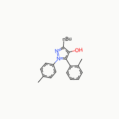 CCCCc1nn(-c2ccc(C)cc2)c(-c2ccccc2C)c1O